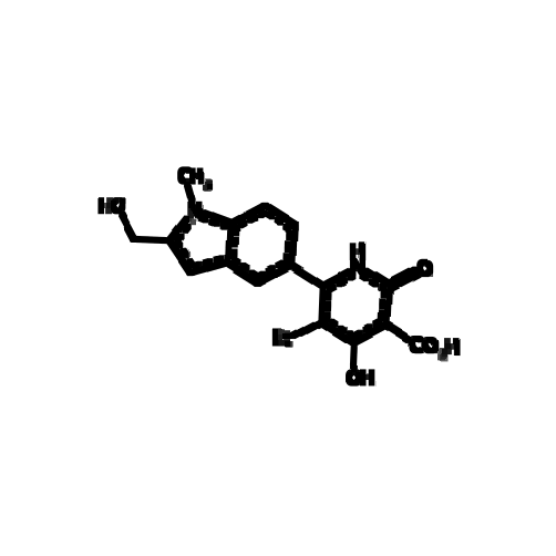 CCc1c(-c2ccc3c(c2)cc(CO)n3C)[nH]c(=O)c(C(=O)O)c1O